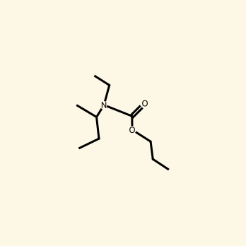 CCCOC(=O)N(CC)C(C)CC